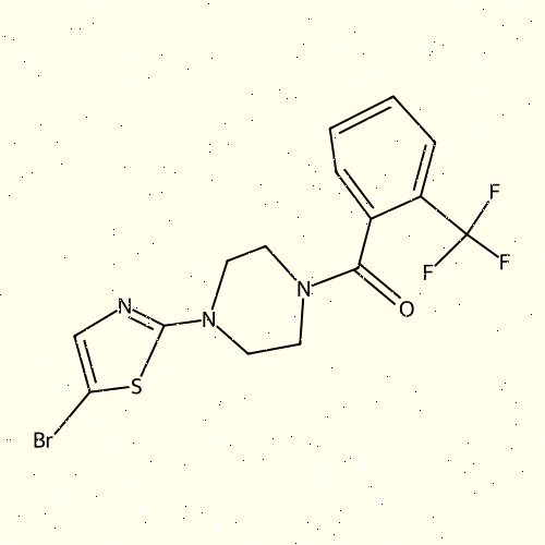 O=C(c1ccccc1C(F)(F)F)N1CCN(c2ncc(Br)s2)CC1